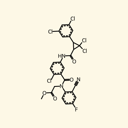 COC(=O)CN(C(=O)c1cc(NC(=O)C2C(c3cc(Cl)cc(Cl)c3)C2(Cl)Cl)ccc1Cl)c1ccc(F)cc1C#N